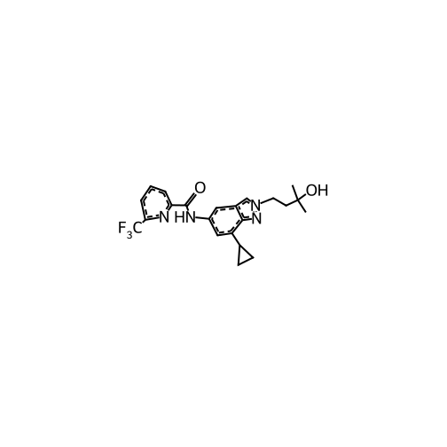 CC(C)(O)CCn1cc2cc(NC(=O)c3cccc(C(F)(F)F)n3)cc(C3CC3)c2n1